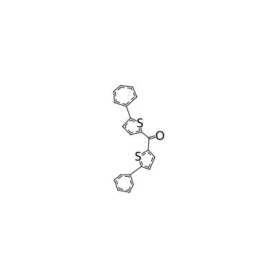 O=C(c1ccc(-c2ccccc2)s1)c1ccc(-c2ccccc2)s1